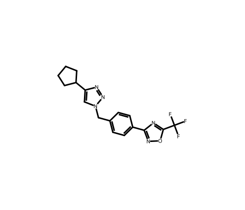 FC(F)(F)c1nc(-c2ccc(Cn3cc(C4CCCC4)nn3)cc2)no1